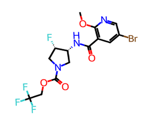 COc1ncc(Br)cc1C(=O)N[C@@H]1CN(C(=O)OCC(F)(F)F)C[C@@H]1F